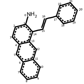 Nc1ccc2cc3ccccc3cc2c1C=Cc1ccccc1